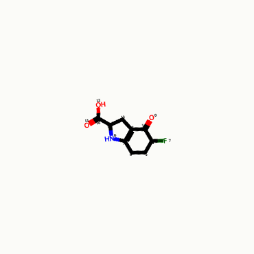 O=C1C2=C(CCC1F)NC(C(=O)O)C2